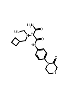 CC(C)(C)CN(CC1CCC1)[C@@H](C(N)=O)C(=O)Nc1ccc(N2CCOCC2=O)cc1